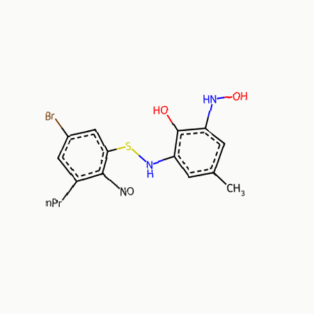 CCCc1cc(Br)cc(SNc2cc(C)cc(NO)c2O)c1N=O